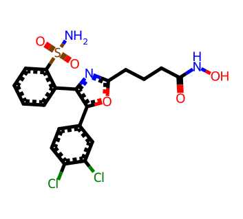 NS(=O)(=O)c1ccccc1-c1nc(CCCC(=O)NO)oc1-c1ccc(Cl)c(Cl)c1